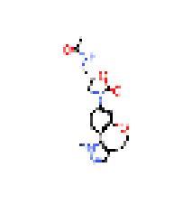 CC(=O)NC[C@H]1CN(c2ccc3c(c2)OCCc2cnn(C)c2-3)C(=O)O1